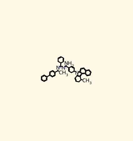 CC1CC=Cc2c1c1c3ccccc3ccc1n2C1C=CC(/C(N)=N/C(=N\C(C)c2ccc(-c3ccccc3)cc2)C2C=CC=CC2)=CC1